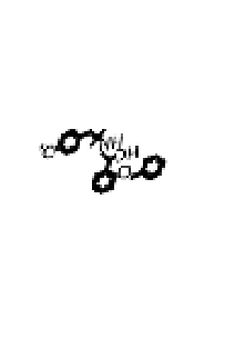 COc1ccc(CC(C)(C)NCC(O)c2ccccc2OCc2ccccc2)cc1